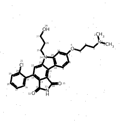 CN(C)CCCOc1ccc2c3c4c(c(-c5ccccc5Cl)cc3n(CCCO)c2c1)C(=O)NC4=O